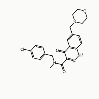 CN(Cc1ccc(Cl)cc1)C(=O)c1n[nH]c2ccc(CN3CCOCC3)cc2c1=O